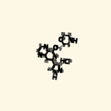 Cl.c1cnc2c(OC[C@H]3CNCCO3)nc(-c3cn[nH]c3)cc2n1